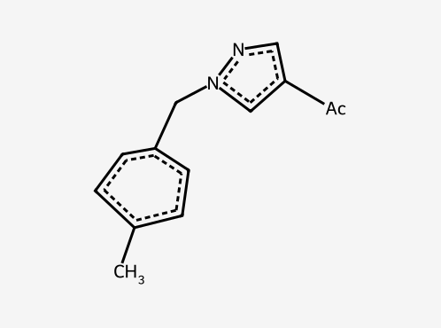 CC(=O)c1cnn(Cc2ccc(C)cc2)c1